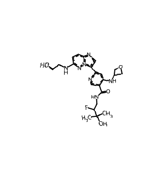 CC(C)(O)C(F)CNC(=O)c1cnc(-c2cnc3ccc(NCCO)nn23)cc1NC1COC1